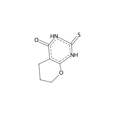 O=c1[nH]c(=S)[nH]c2c1CCCO2